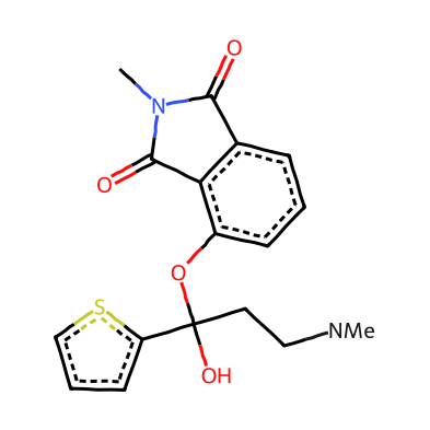 CNCCC(O)(Oc1cccc2c1C(=O)N(C)C2=O)c1cccs1